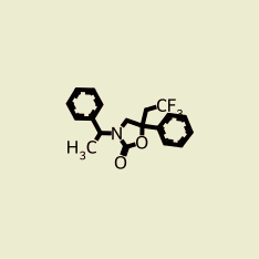 CC(c1ccccc1)N1CC(CC(F)(F)F)(c2ccccc2)OC1=O